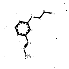 NN=Nc1cccc(OCCF)c1